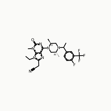 CCn1c(CC#N)nc2c(N3C[C@@H](C)N(C(C)c4ccc(F)c(C(F)(F)F)c4)C[C@@H]3C)nc(=O)n(C)c21